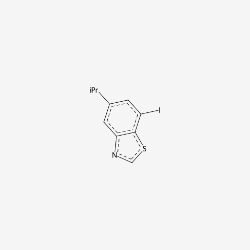 CC(C)c1cc(I)c2scnc2c1